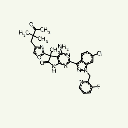 CC(=O)C(C)(C)Cc1coc(C2(C)C(=O)Nc3nc(-c4nn(Cc5ncccc5F)c5cc(Cl)ccc45)nc(N)c32)n1